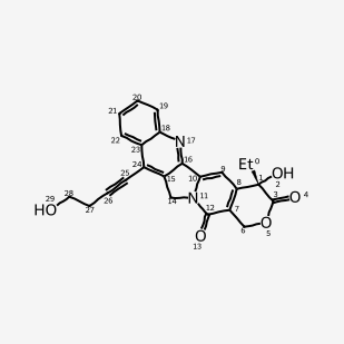 CC[C@@]1(O)C(=O)OCc2c1cc1n(c2=O)Cc2c-1nc1ccccc1c2C#CCCO